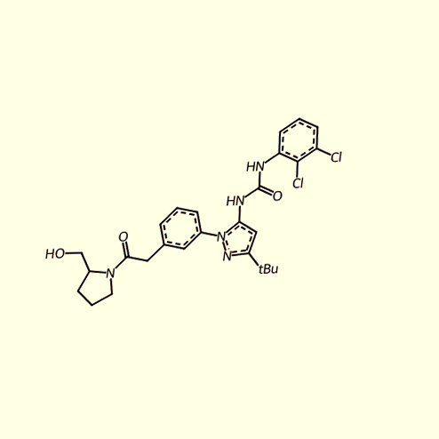 CC(C)(C)c1cc(NC(=O)Nc2cccc(Cl)c2Cl)n(-c2cccc(CC(=O)N3CCCC3CO)c2)n1